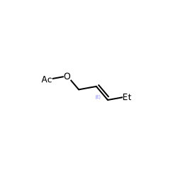 CC/C=C/COC(C)=O